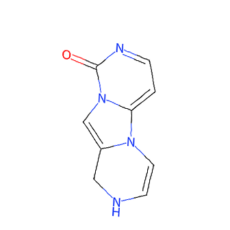 O=c1nccc2n3c(cn12)CNC=C3